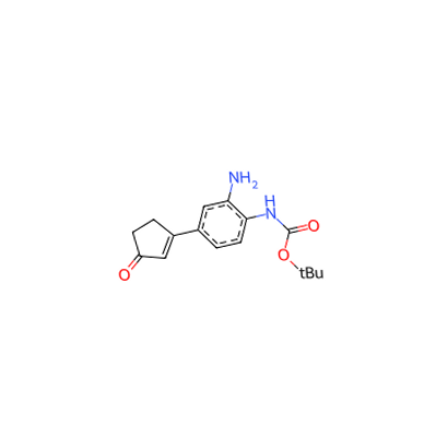 CC(C)(C)OC(=O)Nc1ccc(C2=CC(=O)CC2)cc1N